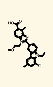 CCn1c2ccc(-c3nc4c(C)c(C(=O)O)ccc4n3CCOC)cc2c2cc(C)cc(Cl)c21